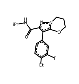 CCc1ccc(-c2c(C(=O)NC(C)C)nn3c2OCCC3)cc1F